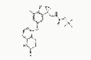 Cc1cc(Oc2ccnc3c2CCC(=O)N3)cc2c1OC1CC21CNC(=O)OC(C)(C)C